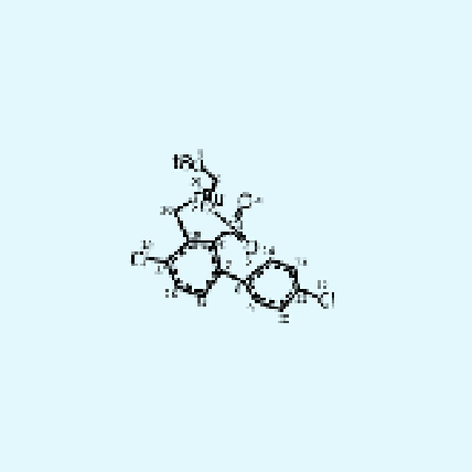 CC(C)(C)COS(=O)(=O)c1c(-c2ccc(Cl)cc2)ccc(Cl)c1CC(C)(C)C